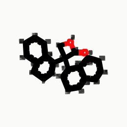 O=C1OCC1(c1cccc2ccccc12)c1cccc2ccccc12